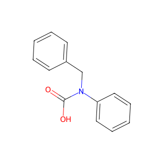 O=C(O)N(Cc1ccccc1)c1ccccc1